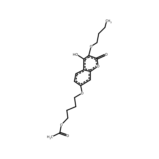 CCCCOc1c(O)c2ccc(OCCCCOC(C)=O)cc2oc1=O